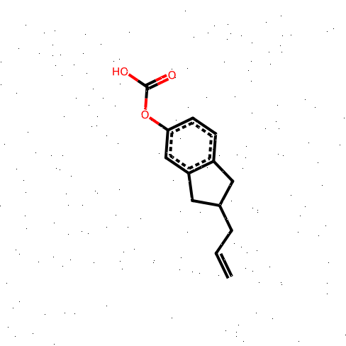 C=CCC1Cc2ccc(OC(=O)O)cc2C1